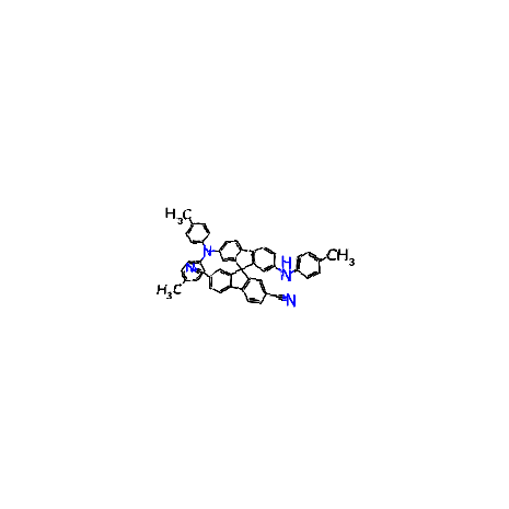 Cc1ccc(Nc2ccc3c(c2)C2(c4cc(C#N)ccc4-c4ccc(C#N)cc42)c2cc(N(c4ccc(C)cc4)c4ccc(C)cc4)ccc2-3)cc1